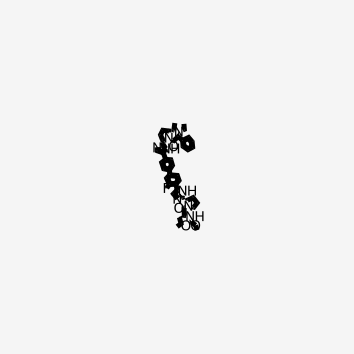 CCC[C@H](NC(=O)OC)C(=O)N1CCC[C@H]1c1ncc(-c2ccc(-c3ccc(-c4cnc([C@@H]5CCCN5C(=O)[C@@H](c5ccccc5)N(CC)CC)[nH]4)cc3)cc2F)[nH]1